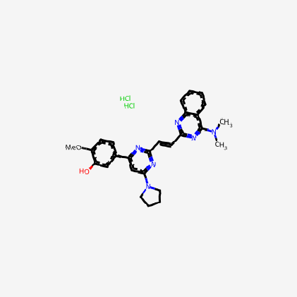 COc1ccc(-c2cc(N3CCCC3)nc(C=Cc3nc(N(C)C)c4ccccc4n3)n2)cc1O.Cl.Cl